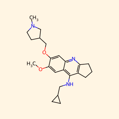 COc1cc2c(NCC3CC3)c3c(nc2cc1OCC1CCN(C)C1)CCC3